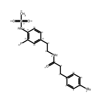 CC(C)(C)c1ccc(CCC(=O)NCCc2ccc(NS(C)(=O)=O)c(F)c2)cc1